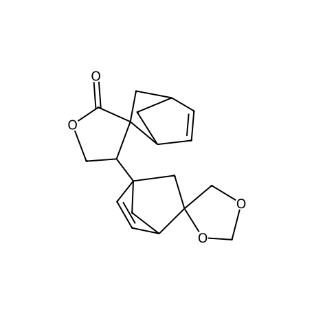 O=C1OCC(C23C=CC(C2)C2(COCO2)C3)C12CC1C=CC2C1